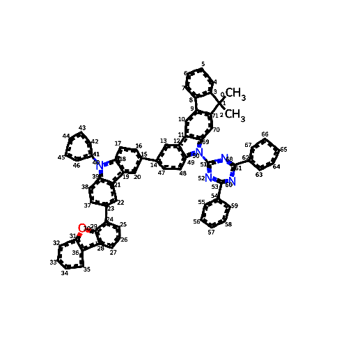 CC1(C)c2ccccc2-c2cc3c4cc(-c5ccc6c(c5)c5cc(-c7cccc8c7oc7ccccc78)ccc5n6-c5ccccc5)ccc4n(-c4nc(-c5ccccc5)nc(-c5ccccc5)n4)c3cc21